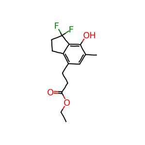 CCOC(=O)CCc1cc(C)c(O)c2c1CCC2(F)F